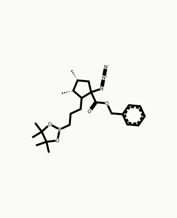 C[C@@H]1CC(N=[N+]=[N-])(C(=O)OCc2ccccc2)C(CCCB2OC(C)(C)C(C)(C)O2)[C@@H]1C